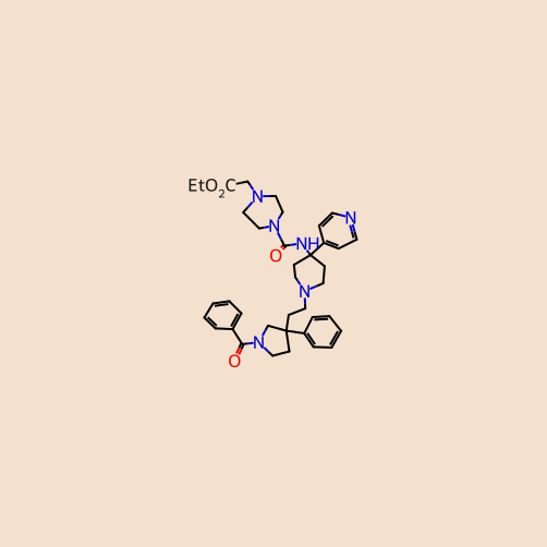 CCOC(=O)CN1CCN(C(=O)NC2(c3ccncc3)CCN(CCC3(c4ccccc4)CCN(C(=O)c4ccccc4)C3)CC2)CC1